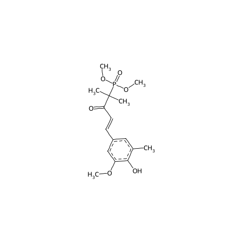 COc1cc(C=CC(=O)C(C)(C)P(=O)(OC)OC)cc(C)c1O